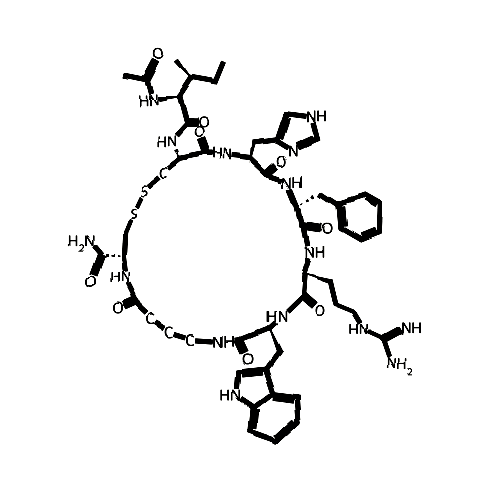 CC[C@H](C)[C@H](NC(C)=O)C(=O)N[C@H]1CSSC[C@@H](C(N)=O)NC(=O)CCCNC(=O)[C@H](Cc2c[nH]c3ccccc23)NC(=O)[C@H](CCCNC(=N)N)NC(=O)[C@@H](Cc2ccccc2)NC(=O)[C@H](Cc2c[nH]cn2)NC1=O